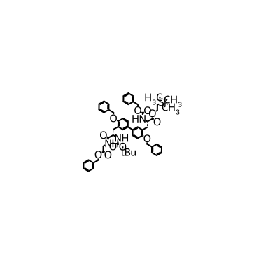 CC(C)(C)OC(=O)N[C@@H](Cc1cc(-c2ccc(OCc3ccccc3)c(C[C@H](NC(=O)OCc3ccccc3)C(=O)OCC[Si](C)(C)C)c2)ccc1OCc1ccccc1)C(=O)NCC(=O)OCc1ccccc1